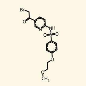 COCCOc1ccc(S(=O)(=O)Nc2ccc(C(=O)CBr)cn2)cc1